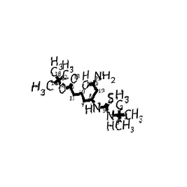 CC(C)(C)NC(=S)NC(CCCC(=O)OC(C)(C)C)CC(N)O